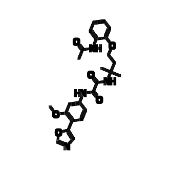 COc1cc(NC(=O)C(=O)NC(C)(C)CCOc2ccccc2NC(C)=O)ccc1-c1cnco1